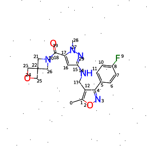 Cc1onc(-c2ccc(F)cc2)c1CNc1cc(C(=O)N2CC3(COC3)C2)n(C)n1